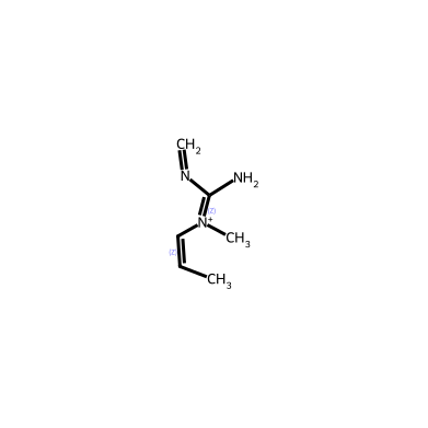 C=N/C(N)=[N+](C)\C=C/C